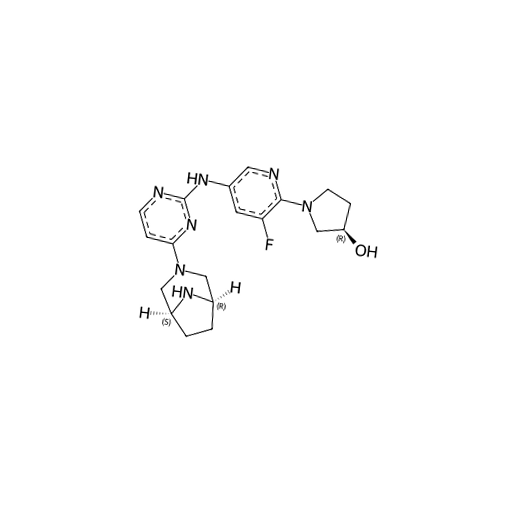 O[C@@H]1CCN(c2ncc(Nc3nccc(N4C[C@H]5CC[C@@H](C4)N5)n3)cc2F)C1